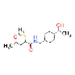 CSC(CC(C)=O)C(=O)NCC1CCC(C(C)O)CC1